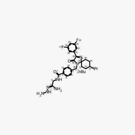 CCCC[C@H](c1ccc(C(=O)NC/C(N)=N/NN)cc1)N1C(=O)C(c2cc(F)cc(F)c2)=NC12CCC(C(C)C)CC2